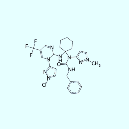 Cn1ccc(N(C(=O)NCc2ccccc2)C2(NC3N=CC(C(F)(F)F)=CN3c3ccn(Cl)n3)CCCCC2)n1